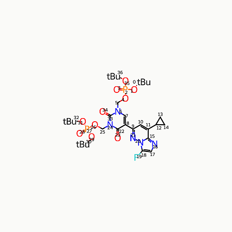 CC(C)(C)OP(=O)(OCn1cc(-c2cc(C3CC3)c3ncc(F)n3n2)c(=O)n(COP(=O)(OC(C)(C)C)OC(C)(C)C)c1=O)OC(C)(C)C